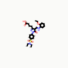 CCOc1ccccc1NC=C1C(=O)N(c2ccc(S(=O)(=O)N(CC)CC)cc2)N=C1CCCC(=O)O